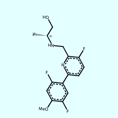 COc1cc(F)c(-c2ccc(F)c(CN[C@@H](CO)C(C)C)n2)cc1F